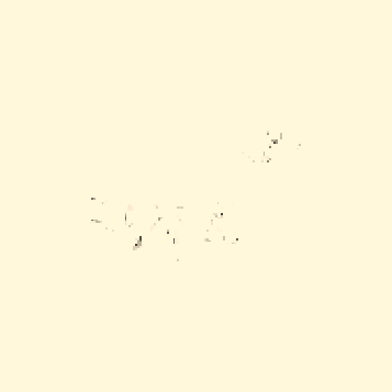 O=C(c1ccccc1)c1ccc2n1CCC2C(=O)OCCCCO[N+](=O)[O-]